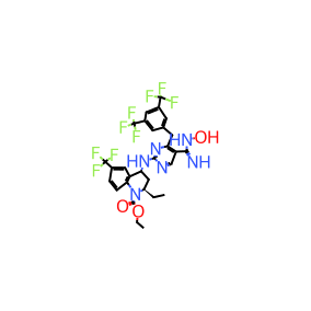 CCOC(=O)N1c2ccc(C(F)(F)F)cc2[C@@H](Nc2ncc(C(=N)NO)c(Cc3cc(C(F)(F)F)cc(C(F)(F)F)c3)n2)C[C@H]1CC